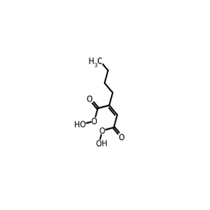 CCCC/C(=C/C(=O)OO)C(=O)OO